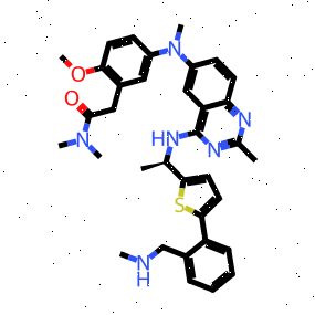 CNCc1ccccc1-c1ccc([C@@H](C)Nc2nc(C)nc3ccc(N(C)c4ccc(OC)c(CC(=O)N(C)C)c4)cc23)s1